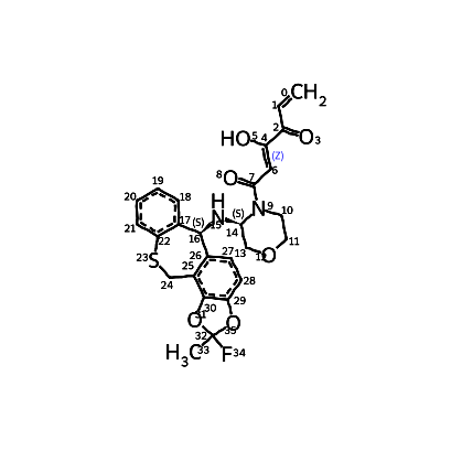 C=CC(=O)/C(O)=C/C(=O)N1CCOC[C@H]1N[C@@H]1c2ccccc2SCc2c1ccc1c2OC(C)(F)O1